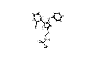 O=C(O)NCCc1cc(Sc2ccccc2)c(-c2ccccc2F)o1